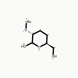 CCCCO[C@@H]1CC[C@@H](CO)OC1O